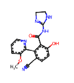 COc1cccnc1-c1c(C#N)ccc(O)c1C(=O)NC1=NCCN1